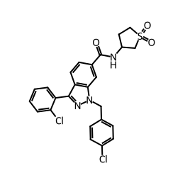 O=C(NC1CCS(=O)(=O)C1)c1ccc2c(-c3ccccc3Cl)nn(Cc3ccc(Cl)cc3)c2c1